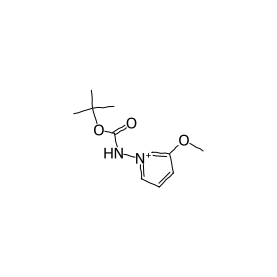 COc1ccc[n+](NC(=O)OC(C)(C)C)c1